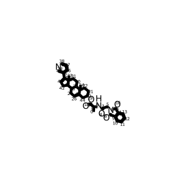 CC(NC(=O)CN1C(=O)c2ccccc2C1=O)C(=O)OC1CCC2(C)C(=CCC3C2CCC2(C)C(c4cccnc4)=CCC32)C1